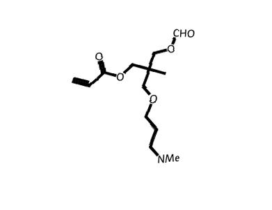 C=CC(=O)OCC(C)(COC=O)COCCCNC